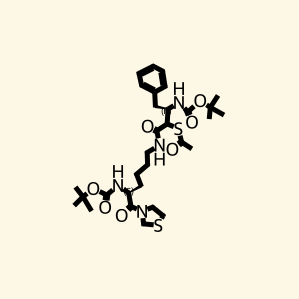 CC(=O)SC(C(=O)NCCCC[C@H](NC(=O)OC(C)(C)C)C(=O)N1CCSC1)[C@@H](Cc1ccccc1)NC(=O)OC(C)(C)C